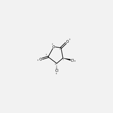 O=C1OC(=O)[C@@H](Cl)[C@@H]1Cl